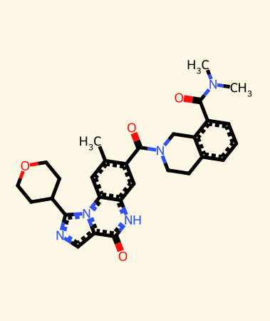 Cc1cc2c(cc1C(=O)N1CCc3cccc(C(=O)N(C)C)c3C1)[nH]c(=O)c1cnc(C3CCOCC3)n12